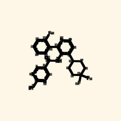 CC(C)c1ncc(C(=O)Nc2c(C3CCC(F)(F)CC3)ccnc2-c2ccccc2F)cn1